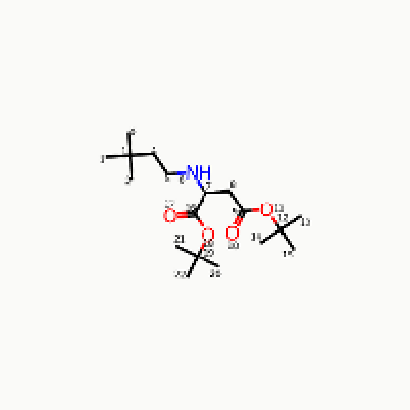 CC(C)(C)CCN[C@@H](CC(=O)OC(C)(C)C)C(=O)OC(C)(C)C